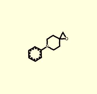 c1ccc(N2CCC3(CC2)CO3)cc1